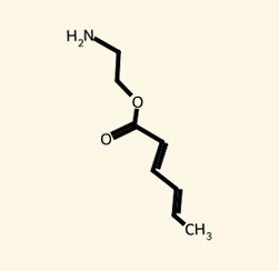 C/C=C/C=C/C(=O)OCCN